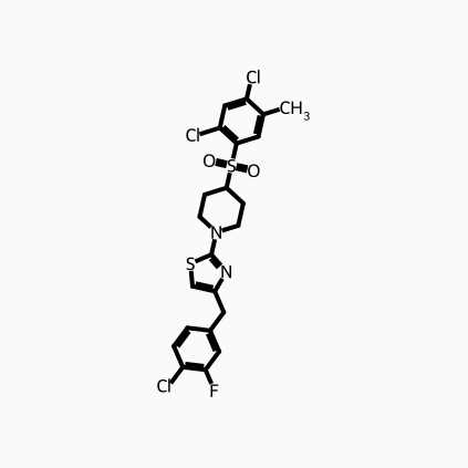 Cc1cc(S(=O)(=O)C2CCN(c3nc(Cc4ccc(Cl)c(F)c4)cs3)CC2)c(Cl)cc1Cl